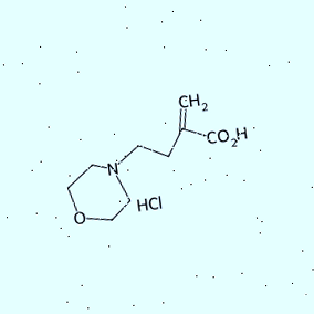 C=C(CCN1CCOCC1)C(=O)O.Cl